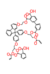 C=CC(=O)OCC(COc1ccc(C2(c3ccc(OCC(COC(=O)C=C)OC(=O)c4ccccc4C(=O)O)cc3)c3ccccc3-c3ccccc32)cc1)OC(=O)c1cccc(-c2ccc(C(=O)O)c(C(=O)OCCOC)c2)c1